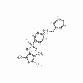 Cc1nn(C)c(C)c1NS(=O)(=O)c1ccc(NCc2cccnc2)cc1